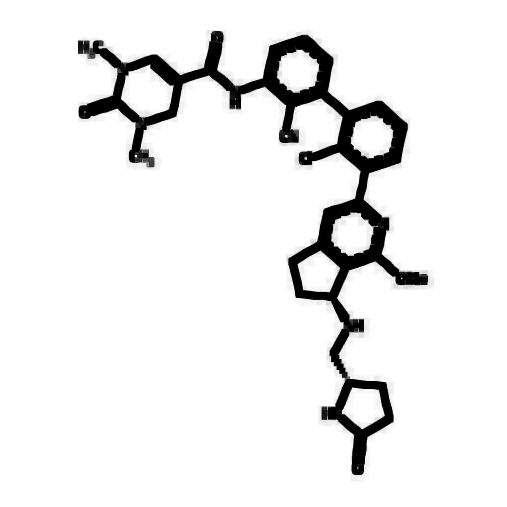 COc1nc(-c2cccc(-c3cccc(NC(=O)C4=CN(C)C(=O)N(C)C4)c3C#N)c2Cl)cc2c1[C@@H](NC[C@@H]1CCC(=O)N1)CC2